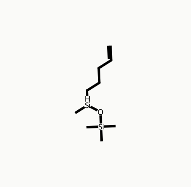 C=CCCC[SiH](C)O[Si](C)(C)C